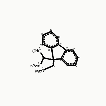 CCCCCC(C=O)C1(COC)c2ccccc2-c2ccccc21